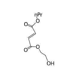 CCCOC(=O)C=CC(=O)OCCO